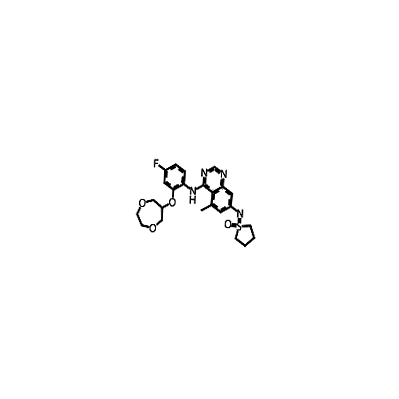 Cc1cc(N=S2(=O)CCCC2)cc2ncnc(Nc3ccc(F)cc3OC3COCCOC3)c12